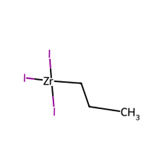 CC[CH2][Zr]([I])([I])[I]